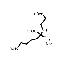 CCCCCCCCCCCCCCC(C)(NCCCCCCCCCCCC)C(=O)[O-].[Na+]